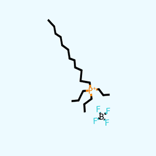 CCCCCCCCCCCC[P+](CCC)(CCC)CCC.F[B-](F)(F)F